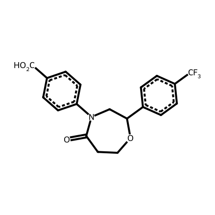 O=C(O)c1ccc(N2CC(c3ccc(C(F)(F)F)cc3)OCCC2=O)cc1